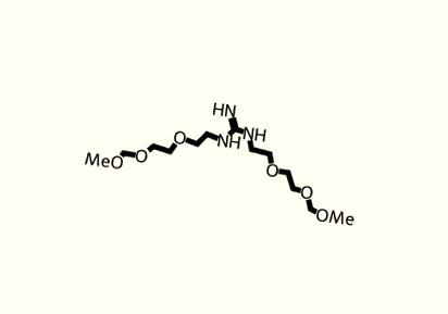 COCOCCOCCNC(=N)NCCOCCOCOC